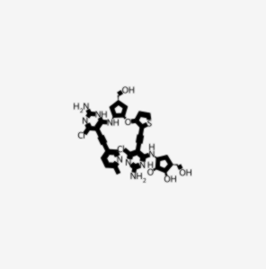 Cc1ccc(C#CC2=C(N[C@@H]3C[C@H](CO)C[C@H]3OC3C=CSC3C#Cc3c(Cl)nc(N)nc3N[C@@H]3C[C@H](CO)[C@@H](O)[C@H]3O)NC(N)N=C2Cl)cn1